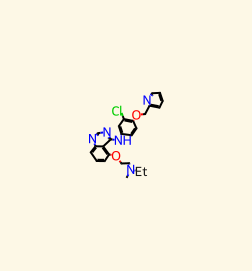 CCN(C)CCOc1cccc2ncnc(Nc3ccc(OCc4ccccn4)c(Cl)c3)c12